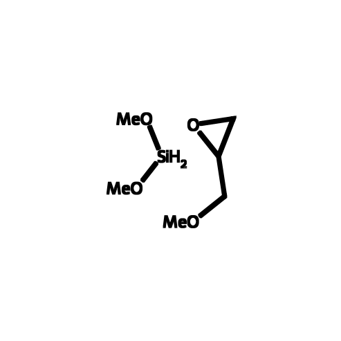 COCC1CO1.CO[SiH2]OC